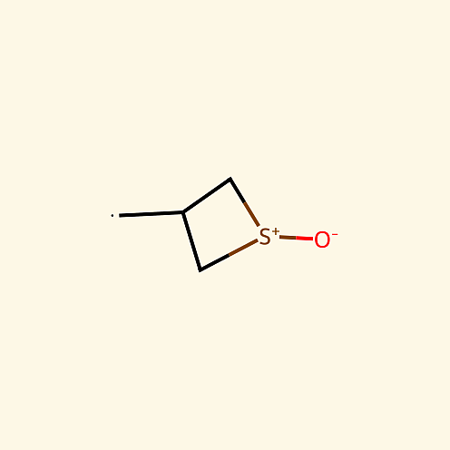 [CH2]C1C[S+]([O-])C1